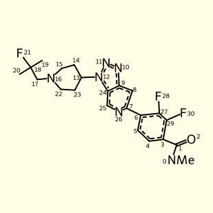 CNC(=O)c1ccc(-c2cc3nnn(C4CCN(CC(C)(C)F)CC4)c3cn2)c(F)c1F